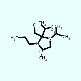 CCCN1[C@@H](C)CN(C(C)C)C1(CC)C(C)C